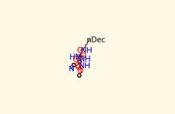 CCCCCCCCCCCCCCCCNC(=O)CC[C@H]1NC(=O)c2cc(Oc3cccc(N(C)C)c3)c(NC(=O)COCc3ccccc3)cc2NC1=O